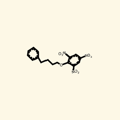 O=[N+]([O-])c1cc([N+](=O)[O-])c(OCCCCc2ccccc2)c([N+](=O)[O-])c1